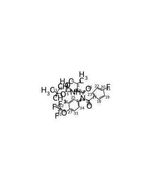 CC(C)[C@H](NC(=O)OC(C)(C)C)C(=O)N(C(=O)c1ccc(F)cc1)c1ccc(OC(F)(F)F)cc1